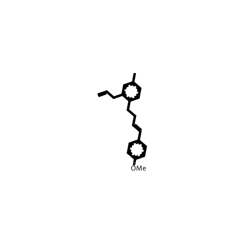 C=CCc1cc(C)ccc1CCC=Cc1ccc(OC)cc1